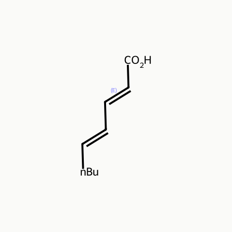 CCCCC=C/C=C/C(=O)O